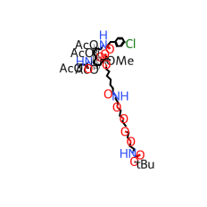 COC(=O)[C@@]1(OCCCCCCC(=O)NCCOCCOCCOCCOCCNC(=O)OC(C)(C)C)C[C@H](OC(C)=O)[C@@H](NC(=O)COC(C)=O)[C@H]([C@H](OC(C)=O)[C@@H](CNC(=O)Cc2ccc(Cl)cc2)OC(C)=O)O1